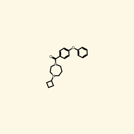 O=C(c1ccc(Oc2ccccc2)cc1)N1CCCN(C2CCC2)CC1